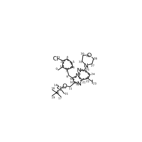 Cc1c(Cl)cccc1Cc1c(CO[Si](C)(C)C(C)(C)C)nc2c(I)cc(N3CCOCC3)nn12